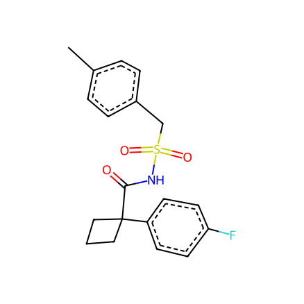 Cc1ccc(CS(=O)(=O)NC(=O)C2(c3ccc(F)cc3)CCC2)cc1